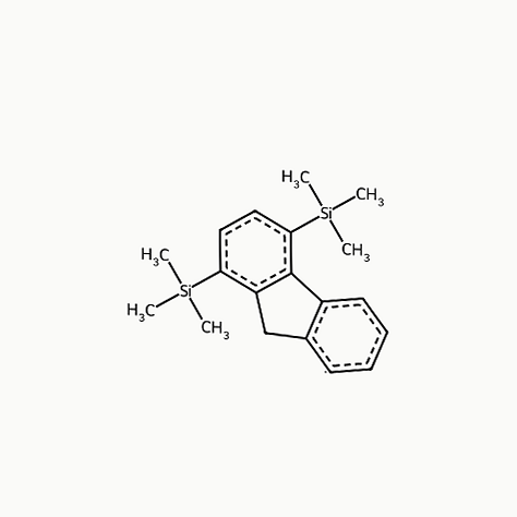 C[Si](C)(C)c1ccc([Si](C)(C)C)c2c1Cc1[c]cccc1-2